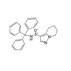 [O-][S+](NC(c1ccccc1)(c1ccccc1)c1ccccc1)c1cnn2c1CCCC2